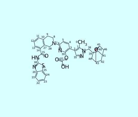 Cc1c(-c2ccc(N3CCc4cccc(C(=O)Nc5nc6ccccc6s5)c4C3)nc2OC(=O)O)cnn1CC12CC3CC(CC(C3)O1)C2